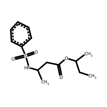 CCC(C)OC(=O)CC(C)NS(=O)(=O)c1ccccc1